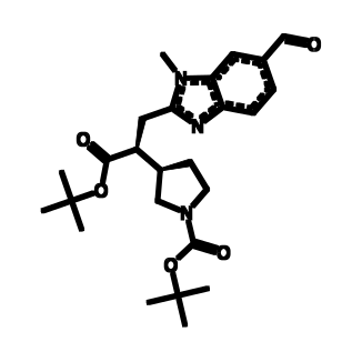 Cn1c(C[C@H](C(=O)OC(C)(C)C)[C@H]2CCN(C(=O)OC(C)(C)C)C2)nc2ccc(C=O)cc21